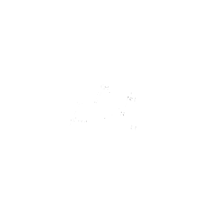 C=C(CCCCCC)CN(N)CC